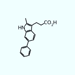 Cc1[nH]c2cc(-c3ccccc3)ccc2c1CCC(=O)O